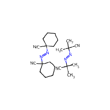 CC(C)(C#N)N=NC(C)(C)C#N.N#CC1(N=NC2(C#N)CCCCC2)CCCCC1